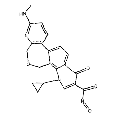 CNc1ccc2c(n1)COCc1c-2ccc2c(=O)c(C(=O)N=O)cn(C3CC3)c12